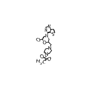 CS(=O)(=O)N1CCN(CC2CN(c3ncnc4ccsc34)CC(Cl)O2)CC1